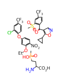 CCOc1cc(Oc2ccc(C(F)(F)F)cc2Cl)ccc1[N+](=O)[O-].CP(=O)(O)CCC(N)C(=O)O.CS(=O)(=O)c1cc(C(F)(F)F)ccc1C(=O)c1cnoc1C1CC1